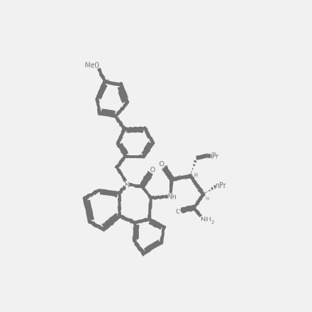 CCC[C@H](C(N)=O)[C@@H](CC(C)C)C(=O)NC1C(=O)N(Cc2cccc(-c3ccc(OC)cc3)c2)c2ccccc2-c2ccccc21